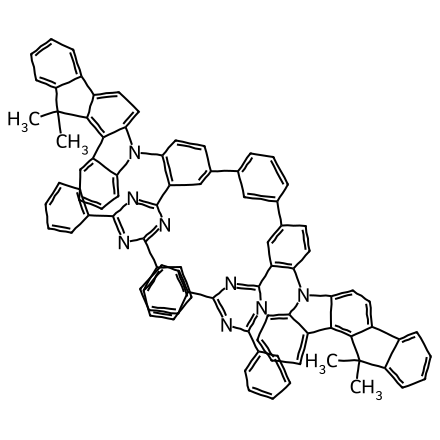 CC1(C)c2ccccc2-c2ccc3c(c21)c1ccccc1n3-c1ccc(-c2cccc(-c3ccc(-n4c5ccccc5c5c6c(ccc54)-c4ccccc4C6(C)C)c(-c4nc(-c5ccccc5)nc(-c5ccccc5)n4)c3)c2)cc1-c1nc(-c2ccccc2)nc(-c2ccccc2)n1